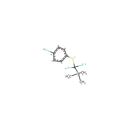 C[Si](C)(C)C(F)(F)Sc1ccc(F)cc1